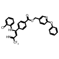 N=C(/C=C(\Nc1ccccc1Cl)c1ccc(C(=O)OCc2ccc(Oc3ccccc3)nc2)cc1)C(F)(F)F